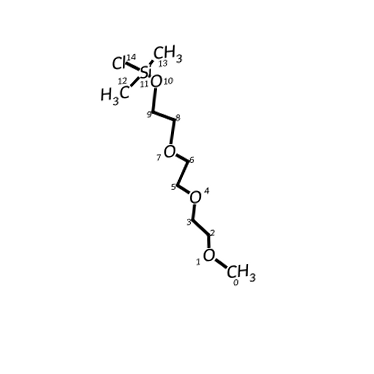 COCCOCCOCCO[Si](C)(C)Cl